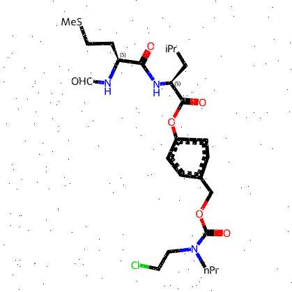 CCCN(CCCl)C(=O)OCc1ccc(OC(=O)[C@H](CC(C)C)NC(=O)[C@H](CCSC)NC=O)cc1